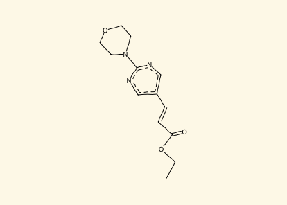 CCOC(=O)C=Cc1cnc(N2CCOCC2)nc1